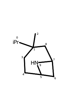 CC(C)C1(C)CCC2CC(C1)N2